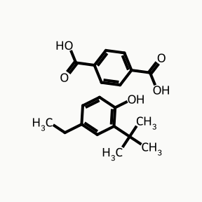 CCc1ccc(O)c(C(C)(C)C)c1.O=C(O)c1ccc(C(=O)O)cc1